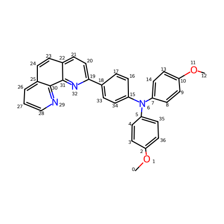 COc1ccc(N(c2ccc(OC)cc2)c2ccc(-c3ccc4ccc5cccnc5c4n3)cc2)cc1